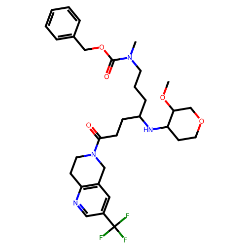 COC1COCCC1NC(CCCN(C)C(=O)OCc1ccccc1)CCC(=O)N1CCc2ncc(C(F)(F)F)cc2C1